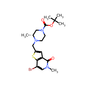 C[C@@H]1CN(C(=O)OC(C)(C)C)CCN1Cc1cc2c(=O)n(C)cc(Br)c2s1